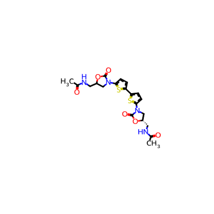 CC(=O)NCC1CN(c2ccc(-c3ccc(N4C[C@H](CNC(C)=O)OC4=O)s3)s2)C(=O)O1